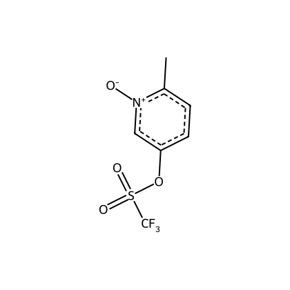 Cc1ccc(OS(=O)(=O)C(F)(F)F)c[n+]1[O-]